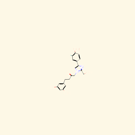 O=C(CCc1cc(O)cc(O)c1)Cn1cc(-c2ccc(O)c(F)c2)nc1CO